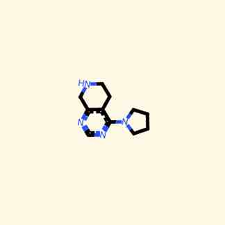 c1nc2c(c(N3CCCC3)n1)CCNC2